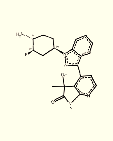 CC1(O)C(=O)Nc2nccc(-c3nn([C@@H]4CC[C@@H](N)[C@H](F)C4)c4ccccc34)c21